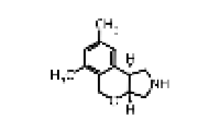 Cc1cc(C)c2c(c1)[C@H]1CNC[C@@H]1OC2